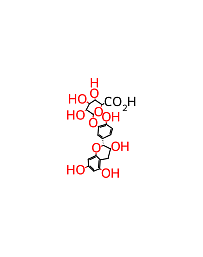 O=C(O)[C@H]1O[C@@H](Oc2cc([C@H]3Oc4cc(O)cc(O)c4C[C@H]3O)ccc2O)[C@H](O)[C@@H](O)[C@@H]1O